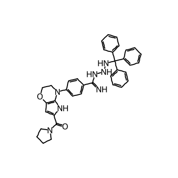 N=C(NNNC(c1ccccc1)(c1ccccc1)c1ccccc1)c1ccc(N2CCOc3cc(C(=O)N4CCCC4)[nH]c32)cc1